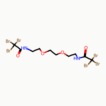 O=C(NCCOCCOCCNC(=O)C(Br)(Br)Br)C(Br)(Br)Br